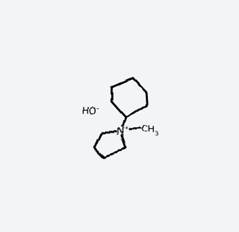 C[N+]1(C2CCCCC2)CCCC1.[OH-]